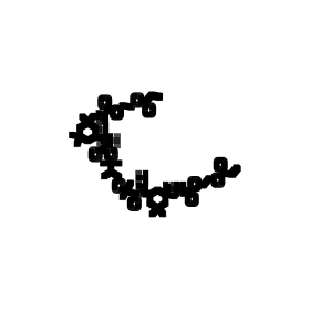 C=CC(=O)OCCOC(=O)NCC1(C)CC(NC(=O)OC(C)(C)C(C)COC(C)(C)C(=O)NC2CC(C)(C)CC(C)(CNC(=O)OCCOC(=O)C=C)C2)CC(C)(C)C1